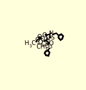 CCOP(=O)(OCC)OC(C)=C(C(=O)OCc1ccccc1)N1C(=O)C2N=C(Cc3ccccc3)SC21